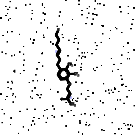 C/C(F)=C/COc1ccc(CC/C=C/CCCF)c(C(F)(F)F)c1C(F)(F)F